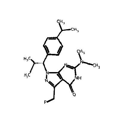 CC(C)c1ccc([C@@H](C(C)C)n2nc(CF)c3c(=O)[nH]c(N(C)C)nc32)cc1